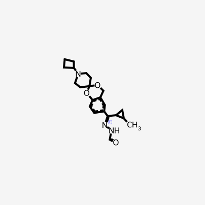 CC1CC1/C(=N\NC=O)c1ccc2c(c1)COC1(CCN(C3CCC3)CC1)O2